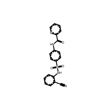 N#Cc1ccccc1NS(=O)(=O)c1ccc(NC(=O)c2ccccn2)cc1